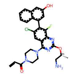 C=CC(=O)N1CCN(c2nc(O[C@H](C)CN)nc3c(F)c(-c4cc(O)cc5ccccc45)c(Cl)cc23)CC1